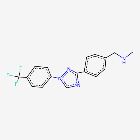 CNCc1ccc(-c2ncn(-c3ccc(C(F)(F)F)cc3)n2)cc1